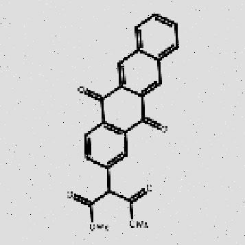 COC(=O)C(C(=O)OC)c1ccc2c(c1)C(=O)c1cc3ccccc3cc1C2=O